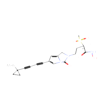 CNC1(C#CC#Cc2cc3n(c2)C(=O)N(CC[C@](C)(C(=O)NO)S(C)(=O)=O)C3)CC1